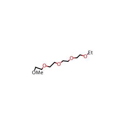 [CH2]OCCOCCOCCOCCOCC